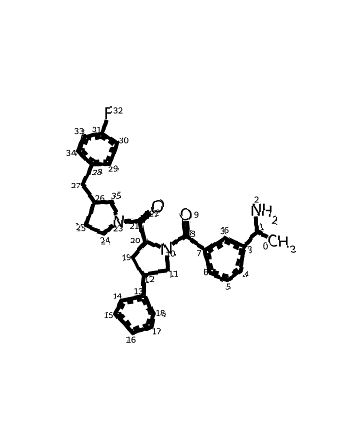 CC(N)c1cccc(C(=O)N2CC(c3ccccc3)CC2C(=O)N2CCC(Cc3ccc(F)cc3)C2)c1